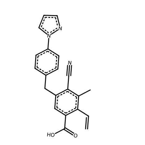 C=Cc1c(C(=O)O)cc(Cc2ccc(-n3cccn3)cc2)c(C#N)c1C